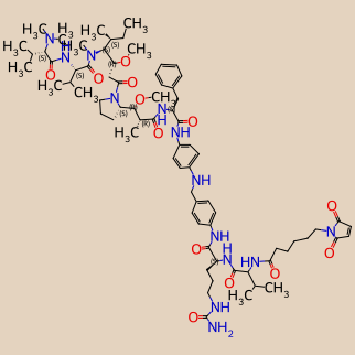 CC[C@H](C)[C@@H]([C@@H](CC(=O)N1CCC[C@H]1[C@H](OC)[C@@H](C)C(=O)N[C@@H](Cc1ccccc1)C(=O)Nc1ccc(NCc2ccc(NC(=O)[C@H](CCCNC(N)=O)NC(=O)C(NC(=O)CCCCCN3C(=O)C=CC3=O)C(C)C)cc2)cc1)OC)N(C)C(=O)[C@@H](NC(=O)[C@H](C(C)C)N(C)C)C(C)C